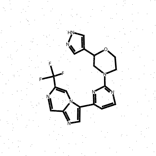 FC(F)(F)c1cn2c(-c3ccnc(N4CCOC(c5cn[nH]c5)C4)n3)cnc2cn1